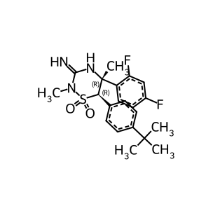 CN1C(=N)N[C@](C)(c2ccc(F)cc2F)[C@@H](c2ccc(C(C)(C)C)cc2)S1(=O)=O